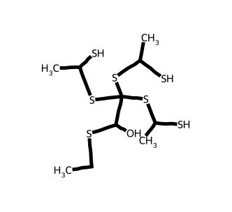 CCSC(O)C(SC(C)S)(SC(C)S)SC(C)S